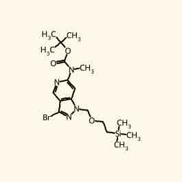 CN(C(=O)OC(C)(C)C)c1cc2c(cn1)c(Br)nn2COCC[Si](C)(C)C